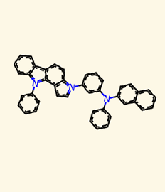 c1ccc(N(c2cccc(-n3ccc4c3ccc3c5ccccc5n(-c5ccccc5)c34)c2)c2ccc3ccccc3c2)cc1